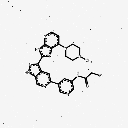 CC(C)CC(=O)Nc1cncc(-c2cc3c(-c4nc5c(N6CCN(C)CC6)ccnc5[nH]4)n[nH]c3cn2)c1